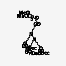 CCCCCCCCCCOC(=O)OCCCCCCN(CCCCCCOC(=O)CCC(=O)c1cc2cc(OC)c(OC)cc2s1)CCCN(CCCCCCOC(=O)OCCCCCCCCCC)CCCCCCOC(=O)OCCCCCCCCCC